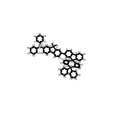 CC1(C)c2cc(-c3ccc4c(c3)C3(c5ccccc5-4)c4ccccc4C(c4ccccc4)(c4ccccc4)c4ccccc43)ccc2-c2ccc(N(c3ccccc3)c3ccccc3)cc21